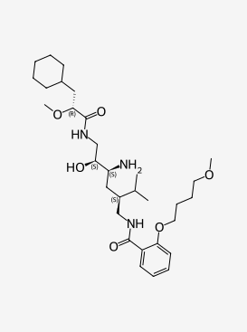 COCCCCOc1ccccc1C(=O)NC[C@@H](C[C@H](N)[C@@H](O)CNC(=O)[C@@H](CC1CCCCC1)OC)C(C)C